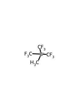 C[B-](C(F)(F)F)(C(F)(F)F)C(F)(F)F